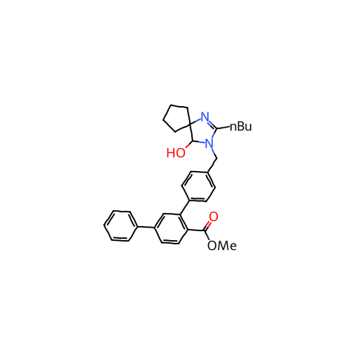 CCCCC1=NC2(CCCC2)C(O)N1Cc1ccc(-c2cc(-c3ccccc3)ccc2C(=O)OC)cc1